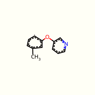 Cc1cc[c]c(Oc2cccnc2)c1